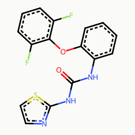 O=C(Nc1nccs1)Nc1ccccc1Oc1c(F)cccc1F